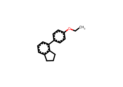 CCOc1ccc(-c2cccc3c2CC[CH]3)cc1